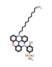 CCCCCCCCCCCCN1c2cccc3c2C2c4c(cccc4N(c4cc(S(C)(=O)=O)ccc4O)c4cccc1c42)O3